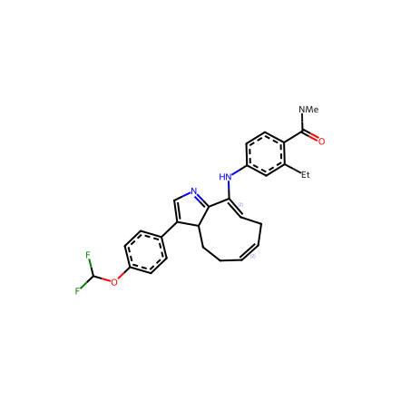 CCc1cc(N/C2=C\C/C=C\CCC3C(c4ccc(OC(F)F)cc4)=CN=C23)ccc1C(=O)NC